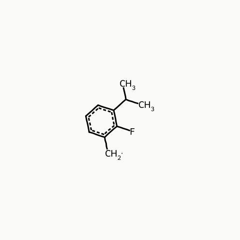 [CH2]c1cccc(C(C)C)c1F